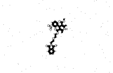 COC(=O)C1=C(C)NC(C)=C(C(=O)OCCOCCN2C(=O)c3ccccc3C2=O)C1c1cccc([N+](=O)[O-])c1